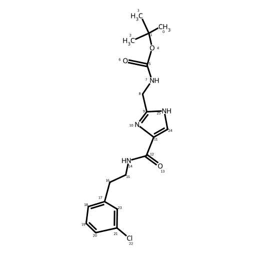 CC(C)(C)OC(=O)NCc1nc(C(=O)NCCc2cccc(Cl)c2)c[nH]1